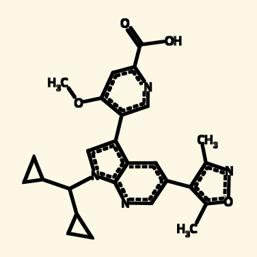 COc1cc(C(=O)O)ncc1-c1cn(C(C2CC2)C2CC2)c2ncc(-c3c(C)noc3C)cc12